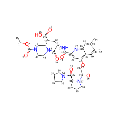 CCOC(=O)N1CCN(C(=O)[C@H](CCC(=O)O)NC(=O)c2cc(OCC(=O)N3CCC[C@H]3C(=O)N3CCCC3)c3cc(C)c(C)cc3n2)CC1